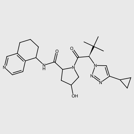 CC(C)(C)[C@H](C(=O)N1CC(O)CC1C(=O)NC1CCCc2cnccc21)n1cc(C2CC2)nn1